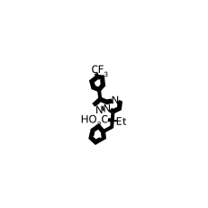 CC[C@@](Cc1ccccc1)(C(=O)O)c1ccnc2c(-c3ccc(C(F)(F)F)cc3)cnn12